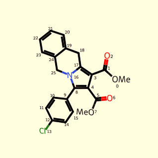 COC(=O)c1c(C(=O)OC)c(-c2ccc(Cl)cc2)n2c1Cc1ccccc1C2